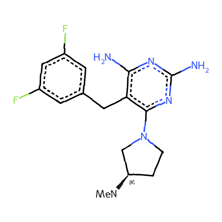 CN[C@@H]1CCN(c2nc(N)nc(N)c2Cc2cc(F)cc(F)c2)C1